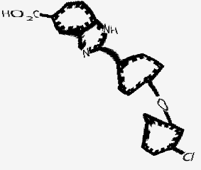 O=C(O)c1ccc2[nH]c(-c3ccc(Oc4cccc(Cl)c4)cc3)nc2c1